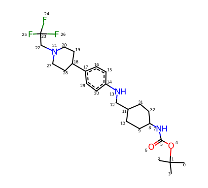 CC(C)(C)OC(=O)NC1CCC(CNc2ccc(C3CCN(CC(F)(F)F)CC3)cc2)CC1